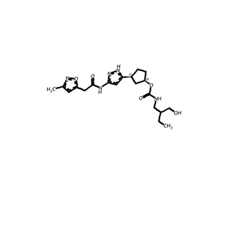 CCC(CO)CNC(=O)O[C@@H]1CC[C@H](c2cc(NC(=O)Cc3cc(C)no3)n[nH]2)C1